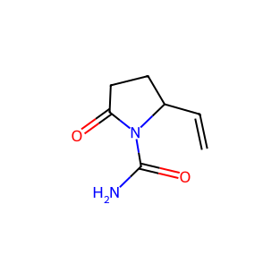 C=CC1CCC(=O)N1C(N)=O